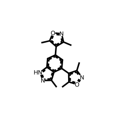 Cc1noc(C)c1-c1cc(-c2c(C)noc2C)c2c(C)n[nH]c2c1